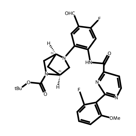 COc1cccc(F)c1-c1nccc(C(=O)Nc2cc(F)c(C=O)cc2N2C[C@@H]3C[C@H]2CN3C(=O)OC(C)(C)C)n1